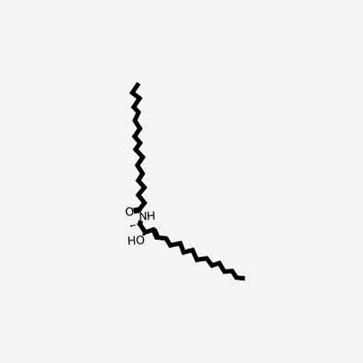 CCCCCCCCCCCCC/C=C/[C@@H](O)[C@H](C)NC(=O)CCCCCCCCCCCCCCCCC